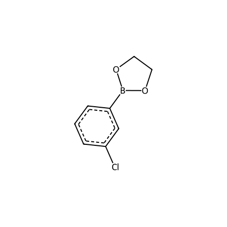 Clc1cccc(B2OCCO2)c1